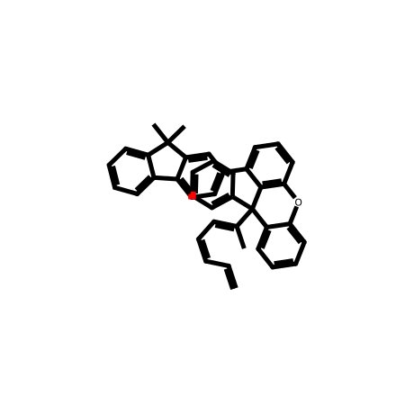 C=C/C=C\C=C(/C)C1(c2ccccc2)c2ccccc2Oc2cccc(-c3ccc4c(c3)C(C)(C)c3ccccc3-4)c21